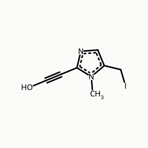 Cn1c(CI)cnc1C#CO